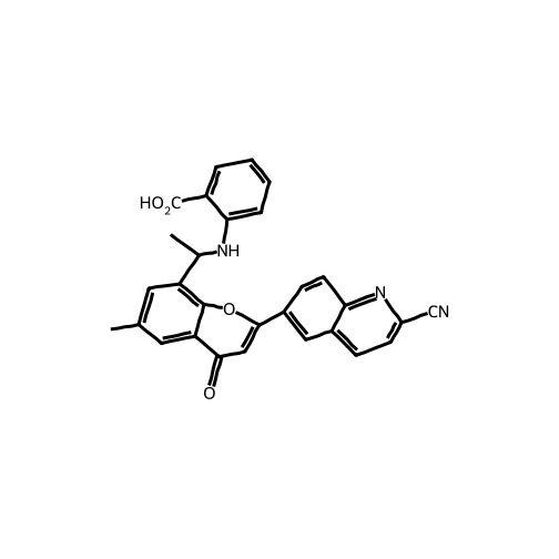 Cc1cc(C(C)Nc2ccccc2C(=O)O)c2oc(-c3ccc4nc(C#N)ccc4c3)cc(=O)c2c1